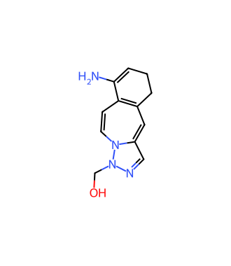 NC1=CCCC2=C1C=CN1C(=C2)C=NN1CO